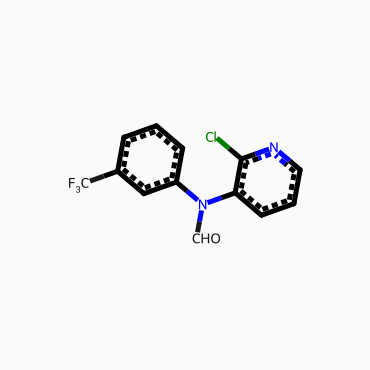 O=CN(c1cccc(C(F)(F)F)c1)c1cccnc1Cl